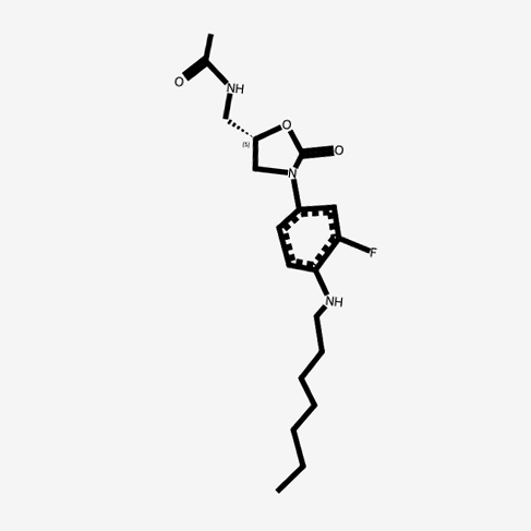 CCCCCCCNc1ccc(N2C[C@H](CNC(C)=O)OC2=O)cc1F